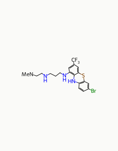 CNCCNCCCNc1cc(C(F)(F)F)cc2c1Nc1ccc(Br)cc1S2